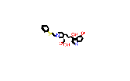 COc1ccc2nccc(C(O)CC[C@@H]3CCN(CCSc4ccccc4)C[C@@H]3CC(=O)O)c2c1